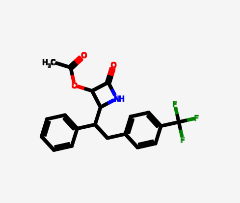 CC(=O)OC1C(=O)NC1C(Cc1ccc(C(F)(F)F)cc1)c1ccccc1